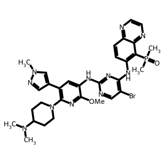 COc1nc(N2CCC(N(C)C)CC2)c(-c2cnn(C)c2)cc1Nc1ncc(Br)c(Nc2ccc3nccnc3c2P(C)(C)=O)n1